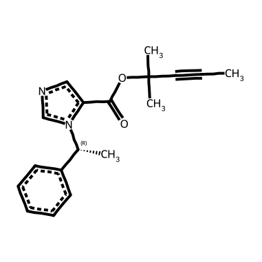 CC#CC(C)(C)OC(=O)c1cncn1[C@H](C)c1ccccc1